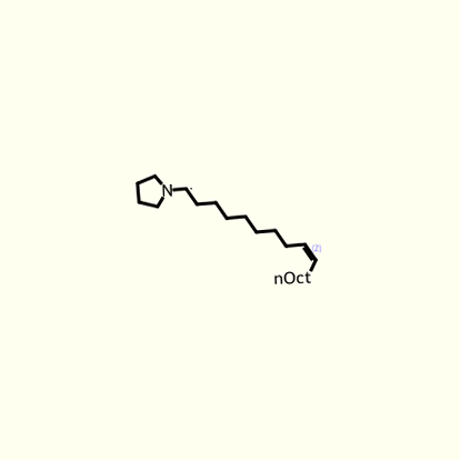 CCCCCCCC/C=C\CCCCCCC[CH]N1CCCC1